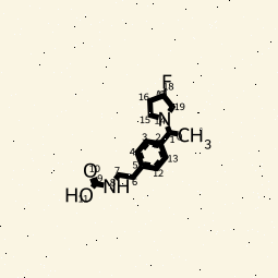 CC(c1ccc(CCNC(=O)O)cc1)N1CC[C@H](F)C1